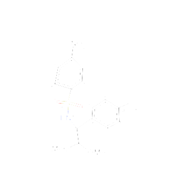 COC(OC)C(NS(=O)(=O)c1ccc([N+](=O)[O-])cc1)c1ccc(C(F)(F)F)cc1